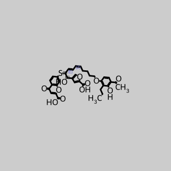 CCCc1c(OCCCC/C=C\C=C\[C@H](Sc2ccc3c(=O)cc(C(=O)O)oc3c2)[C@H](O)c2coc(C(=O)O)c2)ccc(C(C)=O)c1O